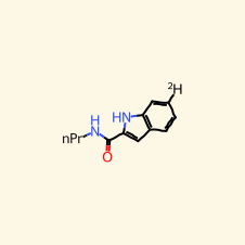 [2H]c1ccc2cc(C(=O)NCCC)[nH]c2c1